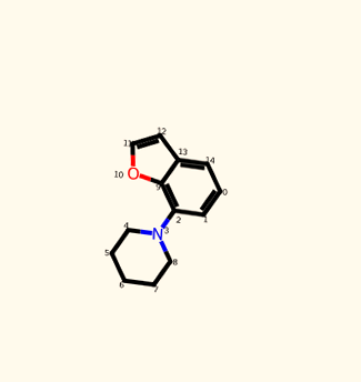 c1cc(N2CCCCC2)c2occc2c1